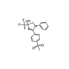 CS(=O)(=O)c1ccc(C2=NC(O)(C(F)(F)F)CN2c2ccccc2)cc1